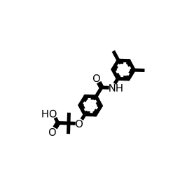 Cc1cc(C)cc(NC(=O)c2ccc(OC(C)(C)C(=O)O)cc2)c1